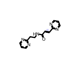 O=C(/C=C/c1ncccn1)NCCc1ncccn1